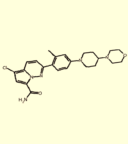 Cc1cc(N2CCC(N3CCOCC3)CC2)ccc1-c1ccc2c(Cl)cc(C(N)=O)n2n1